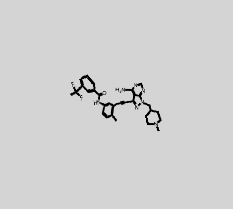 Cc1ccc(NC(=O)c2cccc(C(C)(F)F)c2)cc1C#Cc1nn(CC2CCN(C)CC2)c2ncnc(N)c12